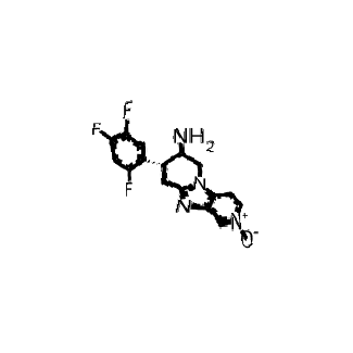 NC1Cn2c(nc3c[n+]([O-])ccc32)C[C@@H]1c1cc(F)c(F)cc1F